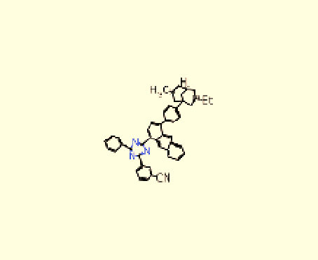 CC[C@@H]1C[C@@H]2C[C@H](C)CC(c3ccc(-c4ccc(-c5nc(-c6ccccc6)nc(-c6cccc(C#N)c6)n5)c5cc6ccccc6cc45)cc3)(C1)C2